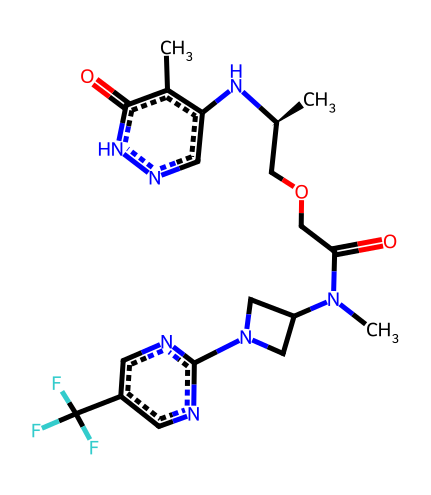 Cc1c(N[C@@H](C)COCC(=O)N(C)C2CN(c3ncc(C(F)(F)F)cn3)C2)cn[nH]c1=O